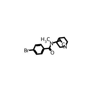 CN(C(=O)c1ccc(Br)cc1)C1CN2CCC1CC2